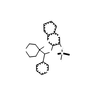 CCCS(=O)(=O)Nc1nc2ccccc2nc1OC(c1cccnc1)C1(F)CCOCC1